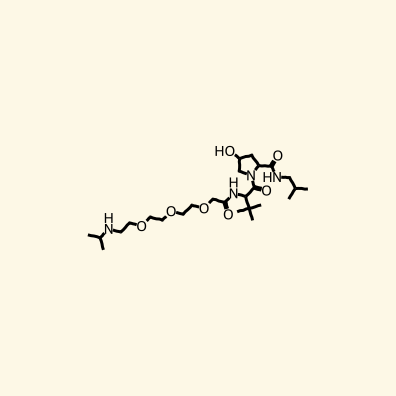 CC(C)CNC(=O)C1CC(O)CN1C(=O)C(NC(=O)COCCOCCOCCNC(C)C)C(C)(C)C